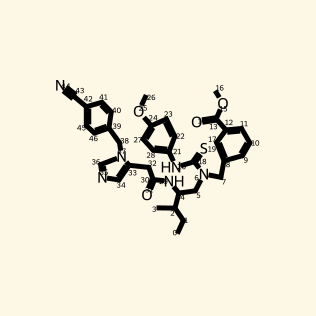 CCC(C)C(CN(Cc1cccc(C(=O)OC)c1)C(=S)Nc1ccc(OC)cc1)NC(=O)Cc1cncn1Cc1ccc(C#N)cc1